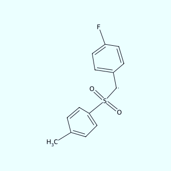 Cc1ccc(S(=O)(=O)[CH]c2ccc(F)cc2)cc1